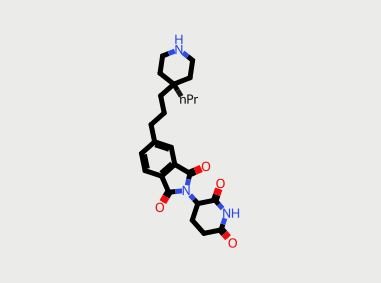 CCCC1(CCCc2ccc3c(c2)C(=O)N(C2CCC(=O)NC2=O)C3=O)CCNCC1